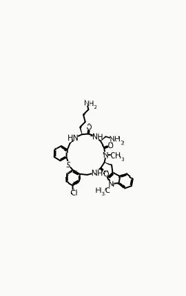 CN1C(=O)[C@H](CN)NC(=O)[C@H](CCCCN)NCc2ccccc2Sc2ccc(Cl)cc2CNC(=O)[C@@H]1Cc1cn(C)c2ccccc12